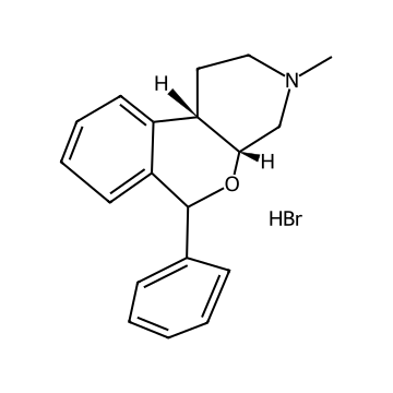 Br.CN1CC[C@H]2c3ccccc3C(c3ccccc3)O[C@H]2C1